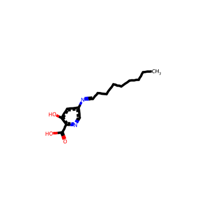 CCCCCCCCC=Nc1cnc(C(=O)O)c(O)c1